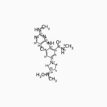 CNC(=O)c1cc(N2CC[C@H](N(C)C)C2)ccc1Nc1nc(NC)ncc1Cl